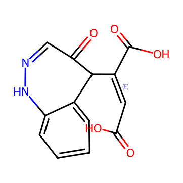 O=C(O)/C=C(/C(=O)O)C1C(=O)C=NNc2ccccc21